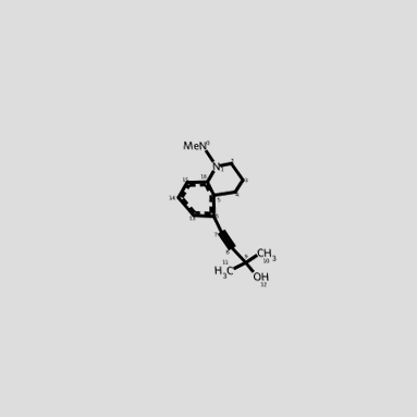 CNN1CCCc2c(C#CC(C)(C)O)cccc21